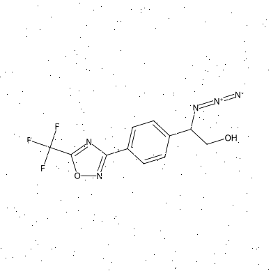 [N-]=[N+]=NC(CO)c1ccc(-c2noc(C(F)(F)F)n2)cc1